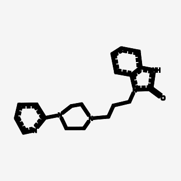 O=c1[nH]c2ccccc2n1CCCN1CCN(c2ccccn2)CC1